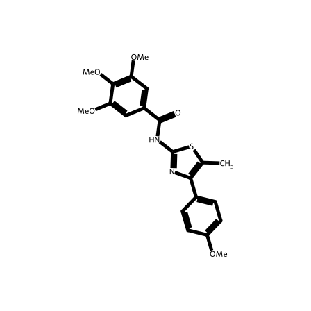 COc1ccc(-c2nc(NC(=O)c3cc(OC)c(OC)c(OC)c3)sc2C)cc1